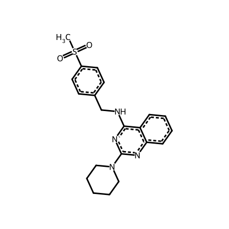 CS(=O)(=O)c1ccc(CNc2nc(N3CCCCC3)nc3ccccc23)cc1